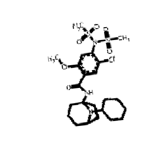 COc1cc(N(S(C)(=O)=O)S(C)(=O)=O)c(Cl)cc1C(=O)NC12CCCC(CC1)N2C1CCCCC1